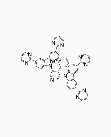 N#Cc1ccccc1-c1c(-n2c3ccc(-c4ncccn4)cc3c3cc(-c4ncccn4)ccc32)cncc1-n1c2ccc(-c3ncccn3)cc2c2cc(-c3ncccn3)ccc21